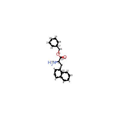 NC(Cc1cccc2ccccc12)C(=O)OCc1ccccc1